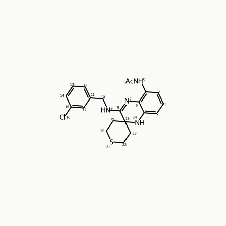 CC(=O)Nc1cccc2c1N=C(NCc1cccc(Cl)c1)C1(CCSCC1)N2